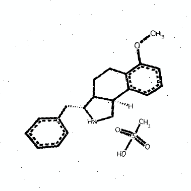 COc1cccc2c1CCC1[C@@H]2CN[C@@H]1Cc1ccccc1.CS(=O)(=O)O